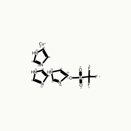 O=S(=O)([O-])C(F)(F)F.[Cu+].c1c[nH]cn1.c1c[nH]cn1.c1c[nH]cn1